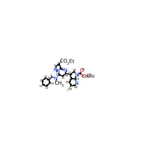 CCOC(=O)c1cnn2c(N(C)Cc3ccccc3)cc(-c3cn(C(=O)OC(C)(C)C)c4ncc(F)cc34)nc12